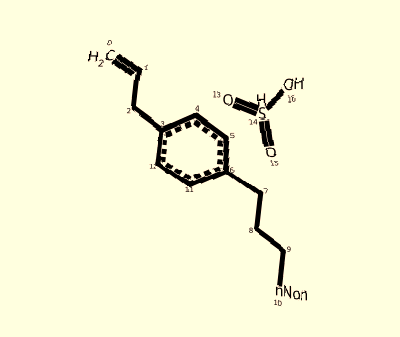 C=CCc1ccc(CCCCCCCCCCCC)cc1.O=[SH](=O)O